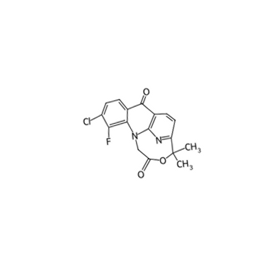 CC1(C)OC(=O)Cn2c3nc1ccc3c(=O)c1ccc(Cl)c(F)c12